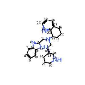 C(/CN(Cc1nc2ccccc2[nH]1)C1CCCc2cccnc21)=C1\CCCNC1